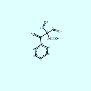 O=NC(N=O)(N=O)C(=O)c1ccccc1